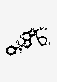 CNc1nc2cnc3c(ccn3S(=O)(=O)c3ccccc3)c2n1C1CCNCC1